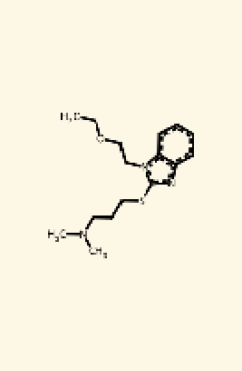 CCOCCn1c(SCCCN(C)C)nc2ccccc21